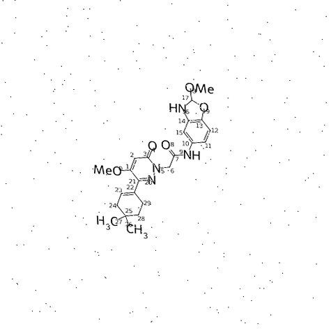 COc1cc(=O)n(CC(=O)Nc2ccc3c(c2)NC(OC)O3)nc1C1=CCC(C)(C)CC1